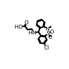 CN1c2ccccc2C(NCCC(=O)O)c2ccc(Cl)cc2S1(=O)=O